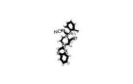 Cc1cccc(C)c1N/C(=N/C#N)N1CCN(c2cnc3ccccc3n2)CC1C(C)C